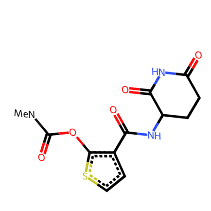 CNC(=O)Oc1sccc1C(=O)NC1CCC(=O)NC1=O